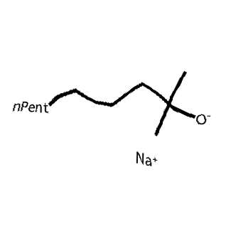 CCCCCCCCC(C)(C)[O-].[Na+]